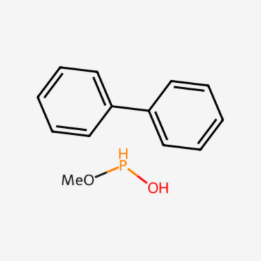 COPO.c1ccc(-c2ccccc2)cc1